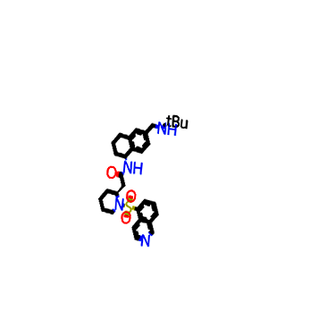 CC(C)(C)NCc1ccc2c(c1)CCC[C@H]2NC(=O)C[C@@H]1CCCCN1S(=O)(=O)c1cccc2cnccc12